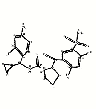 NS(=O)(=O)c1cc(C(=O)C2CCC[C@@H]2C(=O)NC(c2ccc(C(F)(F)F)cc2F)C2CC2)c(Cl)cc1F